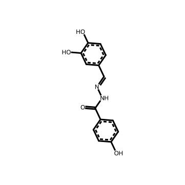 O=C(N/N=C/c1ccc(O)c(O)c1)c1ccc(O)cc1